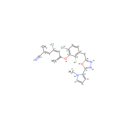 C=C(/C=C(Cl)\C=C(/C)C#N)Oc1c(Cl)ccc(Cc2nnc(-c3cccn3C)o2)c1F